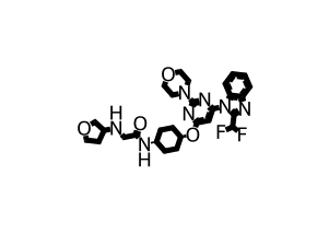 O=C(CNC1CCOC1)N[C@H]1CC[C@H](Oc2cc(-n3c(C(F)F)nc4ccccc43)nc(N3CCOCC3)n2)CC1